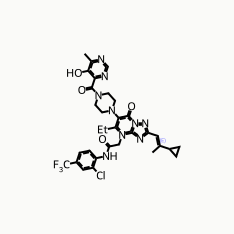 CCc1c(N2CCN(C(=O)c3ncnc(C)c3O)CC2)c(=O)n2nc(/C=C(\C)C3CC3)nc2n1CC(=O)Nc1ccc(C(F)(F)F)cc1Cl